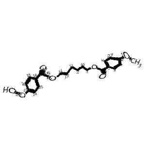 COc1ccc(C(=O)OCCCCCCOC(=O)c2ccc(OO)cc2)cc1